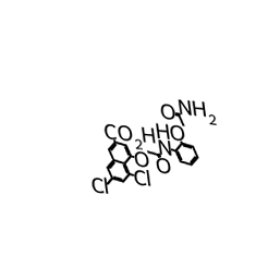 NC(=O)COc1ccccc1NC(=O)COc1cc(C(=O)O)cc2cc(Cl)cc(Cl)c12